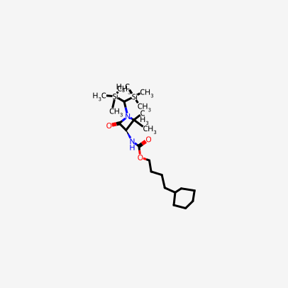 CC1(C)[C@@H](NC(=O)OCCCCC2CCCCC2)C(=O)N1C([Si](C)(C)C)[Si](C)(C)C